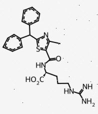 Cc1nc(C(c2ccccc2)c2ccccc2)sc1C(=O)N[C@@H](CCCNC(=N)N)C(=O)O